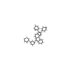 c1ccc(-c2cccc(-n3c4ccccc4c4c5nc(-c6ccncc6)n(-c6ccccn6)c5ccc43)c2)cc1